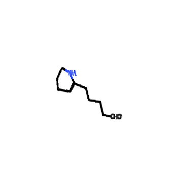 O=CCCCCC1CCCCN1